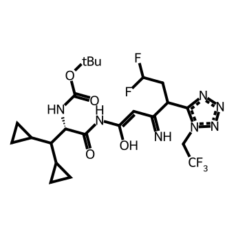 CC(C)(C)OC(=O)N[C@H](C(=O)N/C(O)=C/C(=N)C(CC(F)F)c1nnnn1CC(F)(F)F)C(C1CC1)C1CC1